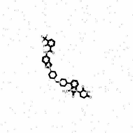 Cn1c(=O)n(C2CCC(=O)NC2=O)c2cccc(C3CCN(C[C@H]4CC[C@H](n5cc6cc(NC(=O)c7cccc(C(F)(F)F)c7F)ccc6n5)CC4)CC3)c21